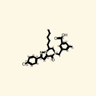 CCCCCC1CN(Cc2cc(C)cc(C(=O)O)c2)C(=O)c2cc(-c3ccc(Cl)cc3)nn21